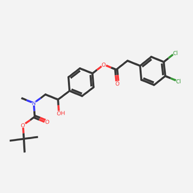 CN(CC(O)c1ccc(OC(=O)Cc2ccc(Cl)c(Cl)c2)cc1)C(=O)OC(C)(C)C